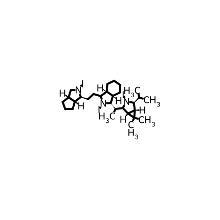 CC(C1[C@@H]2[C@H]([C@H](C(C)C)N1I)C2(C)C)[C@H]1[C@@H]2CCCC[C@@H]2C(CC[C@H]2[C@@H]3CCC[C@@H]3CN2I)N1I